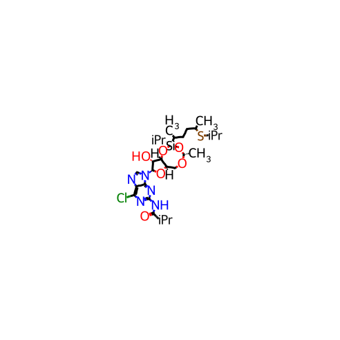 CC(C)SC(C)CCC(C)[Si]1(C(C)C)O[C@H](C)OC[C@H]2O[C@@H](n3cnc4c(Cl)nc(NC(=O)C(C)C)nc43)[C@H](O)[C@@H]2O1